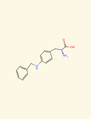 N[C@@H](Cc1ccc(NCc2ccccc2)cc1)C(=O)O